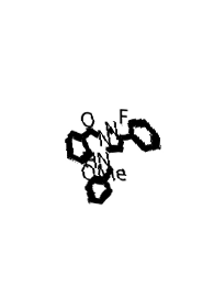 COc1cccc(C(=O)n2nc(-c3ccccc3F)cc2NCc2ccccc2)c1